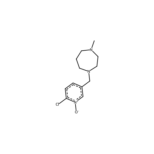 CN1CCCN(Cc2ccc(Cl)[n+]([O-])c2)CC1